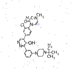 CN(C)/C=C\N(C=O)c1ccc(-c2cnnc(-c3cccc(N4CCN(C(C)(C)C)CC4)c3)c2O)cc1Cl